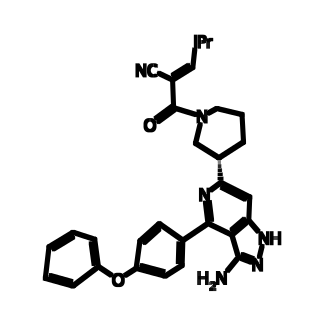 CC(C)C=C(C#N)C(=O)N1CCC[C@H](c2cc3[nH]nc(N)c3c(-c3ccc(Oc4ccccc4)cc3)n2)C1